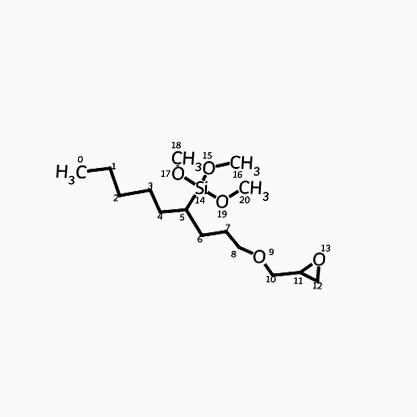 CCCCCC(CCCOCC1CO1)[Si](OC)(OC)OC